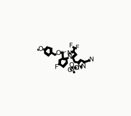 COc1ccc(CO[C@H](C)c2cc(F)ccc2-n2nc(C(F)F)cc2C(OS(C)(=O)=O)c2cc(C#N)nn2C)cc1